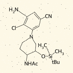 CC(=O)NC1CCN(c2cc(C#N)cc(N)c2Cl)CC1O[Si](C)(C)C(C)(C)C